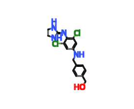 OCc1ccc(CNc2cc(Cl)c(N=C3NCCN3)c(Cl)c2)cc1